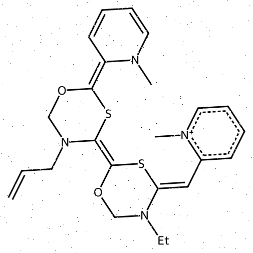 C=CCN1CO/C(=C2\C=CC=CN2C)S/C1=C1/OCN(CC)/C(=C/c2cccc[n+]2C)S1